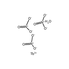 O.O=[N+]([O-])[O-].O=[N+]([O-])[O-].O=[N+]([O-])[O-].[Tb+3]